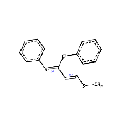 CS/C=C/C(=N/c1ccccc1)Oc1ccccc1